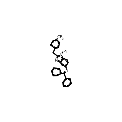 CC(C)n1c(Cc2ccc(C(F)(F)F)cc2)nc2cc(N=C(c3ccccc3)c3ccccc3)ccc21